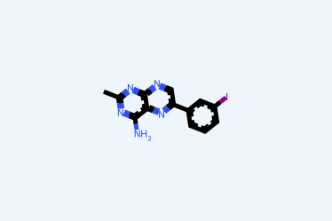 Cc1nc(N)c2nc(-c3cccc(I)c3)cnc2n1